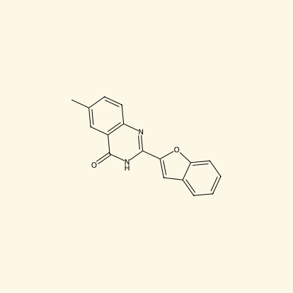 Cc1ccc2nc(-c3cc4ccccc4o3)[nH]c(=O)c2c1